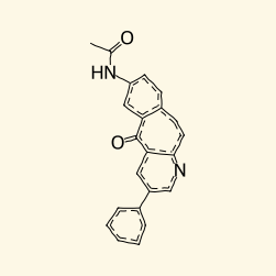 CC(=O)Nc1ccc2ccc3ncc(-c4ccccc4)cc3c(=O)c2c1